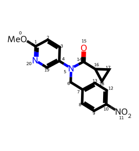 COc1ccc(N(Cc2ccc([N+](=O)[O-])cc2)C(=O)C2CC2)cn1